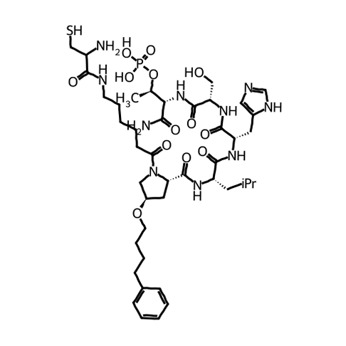 CC(C)C[C@H](NC(=O)[C@@H]1C[C@@H](OCCCCc2ccccc2)CN1C(=O)CCCCCNC(=O)C(N)CS)C(=O)N[C@@H](Cc1cnc[nH]1)C(=O)N[C@@H](CO)C(=O)N[C@H](C(N)=O)[C@@H](C)OP(=O)(O)O